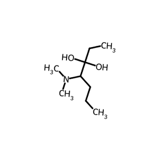 CCCC(N(C)C)C(O)(O)CC